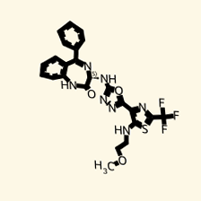 COCCNc1sc(C(F)(F)F)nc1-c1nnc(N[C@H]2N=C(c3ccccc3)c3ccccc3NC2=O)o1